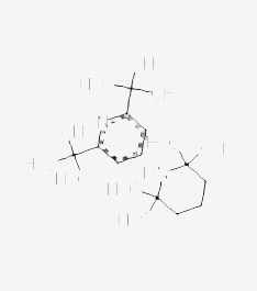 CC(C)(C)c1cccc(C(C)(C)C)n1.CC1(C)CCCC(C)(C)N1